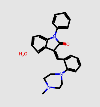 CN1CCN(c2ccccc2C=C2C(=O)N(c3ccccc3)c3ccccc32)CC1.O